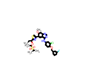 CCC(OC(C)S(=O)(=O)C(C)C)c1nc(-c2cc3c(Nc4ccc(OCc5cccc(F)c5)c(Cl)c4)ncnc3cc2OC)cs1